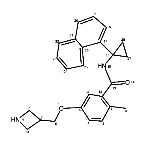 Cc1ccc(OCC2CNC2)cc1C(=O)NC1(c2cccc3ccccc23)CC1